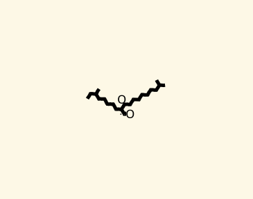 CCC(C)CCCCCC([C]=O)C(=O)CCCCCCCC(C)C